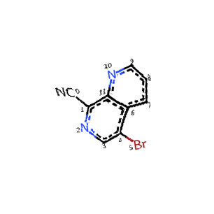 N#Cc1ncc(Br)c2cccnc12